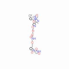 CC1=C(c2ccc(OCCOCCOCC(=O)NCCOCCCc3cccc4c3CN(C3CCC(=O)NC3=O)C4=O)nc2)CC(NC(=O)c2cccc(C(F)(F)F)c2)(N2CCOCC2)C=N1